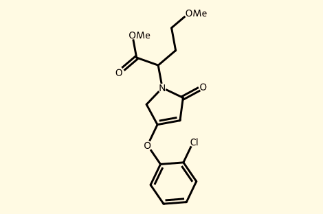 COCCC(C(=O)OC)N1CC(Oc2ccccc2Cl)=CC1=O